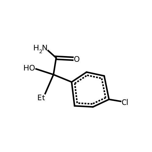 CCC(O)(C(N)=O)c1ccc(Cl)cc1